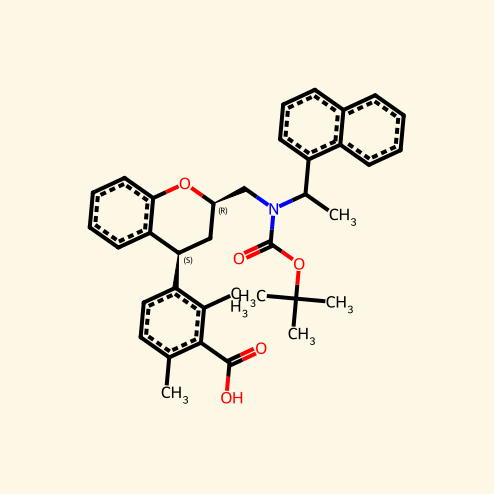 Cc1ccc([C@@H]2C[C@H](CN(C(=O)OC(C)(C)C)C(C)c3cccc4ccccc34)Oc3ccccc32)c(C)c1C(=O)O